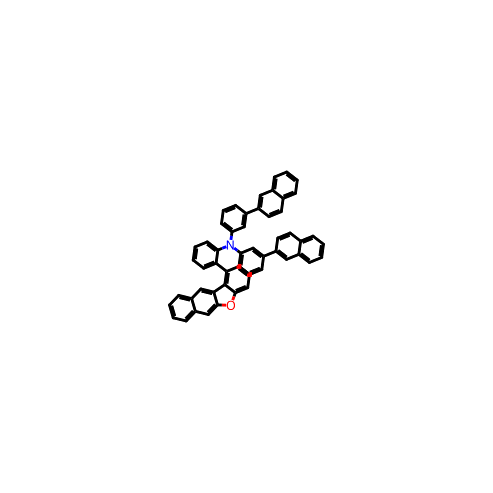 c1cc(-c2ccc3ccccc3c2)cc(N(c2cccc(-c3ccc4ccccc4c3)c2)c2ccccc2-c2cccc3oc4cc5ccccc5cc4c23)c1